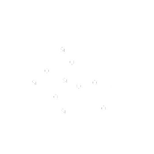 CCC=C(C)C(=O)OO[Si](O[Si](C)(C)C)(O[Si](C)(C)C)O[Si](C)(C)C